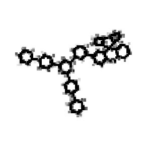 C1=CCC2Oc3ccc(-c4cccc(-c5cc(-c6ccc(-c7ccccc7)cc6)nc(-c6ccc(-c7ccccc7)cc6)n5)c4)cc3C3(C2=C1)c1ccccc1-c1ccccc13